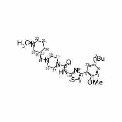 CCCCc1ccc(OC)c(-c2csc(NC(=O)N3CCN(C[C@@H]4CCCN(C)C4)CC3)n2)c1